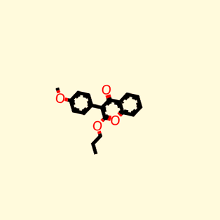 CCCOc1oc2ccccc2c(=O)c1-c1ccc(OC)cc1